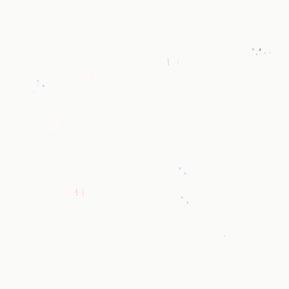 COc1ccc(-c2cc(C(F)(F)F)nn2-c2ccc(S(N)(=O)=O)c(CO)c2)cc1C